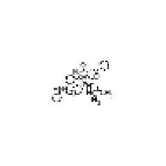 CC(C)C[C@H](NC(=O)N1CCOCC1)C(=O)N[C@@H](CCc1ccccc1)C(=O)c1nc2ccc(C(=O)Nc3ccccc3)cc2s1